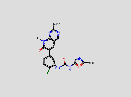 CCn1c(=O)c(-c2ccc(F)c(NC(=O)Nc3cnc(C(C)(C)C)o3)c2)cc2cnc(NC)nc21